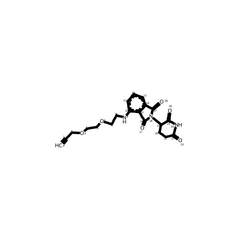 C#CCOCCOCCNc1cccc2c1C(=O)N(C1CCC(=O)NC1=O)C2=O